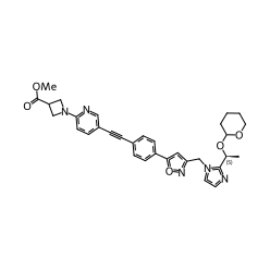 COC(=O)C1CN(c2ccc(C#Cc3ccc(-c4cc(Cn5ccnc5[C@H](C)OC5CCCCO5)no4)cc3)cn2)C1